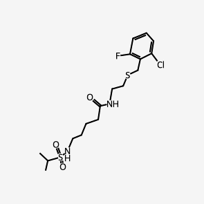 CC(C)S(=O)(=O)NCCCCC(=O)NCCSCc1c(F)cccc1Cl